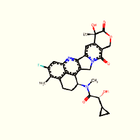 CC[C@@]1(O)C(=O)OCc2c1cc1n(c2=O)Cc2c-1nc1cc(F)c(C)c3c1c2[C@@H](N(C)C(=O)[C@H](O)C1CC1)CC3